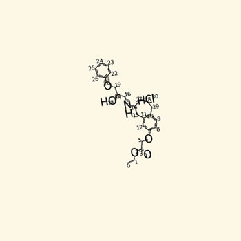 CCOC(=O)COc1ccc2c(c1)CC(NC[C@H](O)COc1ccccc1)CCC2.Cl